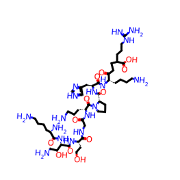 N=C(N)NCCCC(CCC(=O)[C@H](CCCCN)NC(=O)[C@H](Cc1c[nH]cn1)NC(=O)[C@@H]1CCCN1C(=O)[C@@H](CCCN)NC(=O)CNC(=O)[C@H](CCO)NC(=O)[C@@H](NC(=O)[C@@H](N)CCCCN)[C@@H](O)CN)C(=O)O